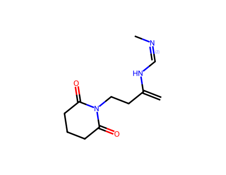 C=C(CCN1C(=O)CCCC1=O)N/C=N\C